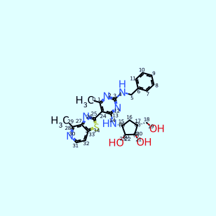 Cc1nc(NCc2ccccc2)nc(N[C@@H]2C[C@H](CO)[C@@H](O)[C@H]2O)c1-c1nc2c(C)nccc2s1